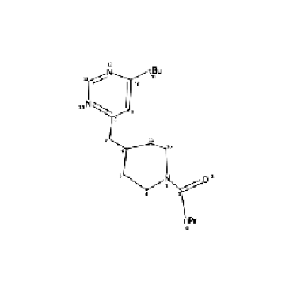 CCCC(=O)N1CCC(Cc2cc(C(C)(C)C)ncn2)CC1